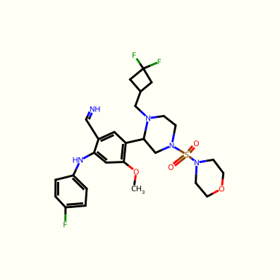 COc1cc(Nc2ccc(F)cc2)c(C=N)cc1C1CN(S(=O)(=O)N2CCOCC2)CCN1CC1CC(F)(F)C1